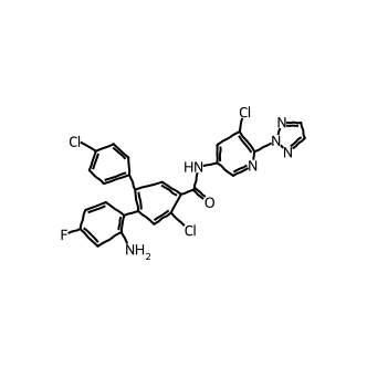 Nc1cc(F)ccc1-c1cc(Cl)c(C(=O)Nc2cnc(-n3nccn3)c(Cl)c2)cc1-c1ccc(Cl)cc1